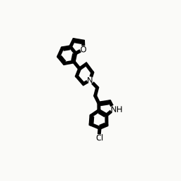 Clc1ccc2c(CCN3CCC(c4cccc5ccoc45)CC3)c[nH]c2c1